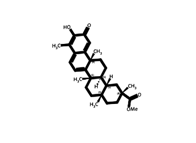 COC(=O)[C@]1(C)CC[C@]2(C)CC[C@]3(C)C4=CC=C5C(=CC(=O)C(O)=C5C)[C@]4(C)CC[C@H]3[C@@H]2C1